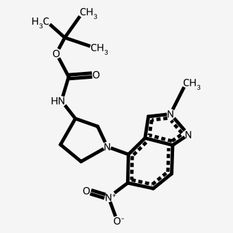 Cn1cc2c(N3CCC(NC(=O)OC(C)(C)C)C3)c([N+](=O)[O-])ccc2n1